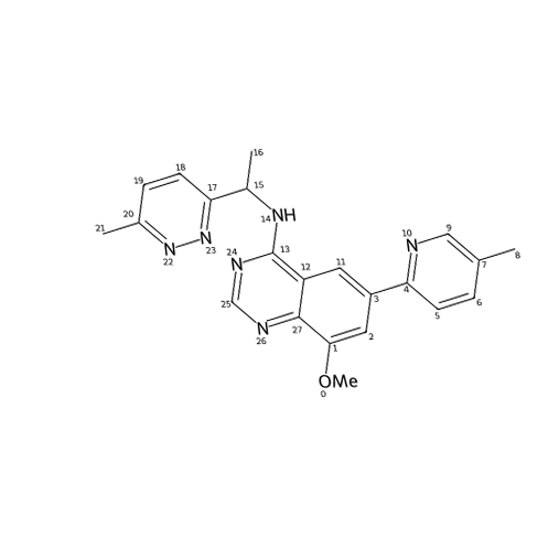 COc1cc(-c2ccc(C)cn2)cc2c(NC(C)c3ccc(C)nn3)ncnc12